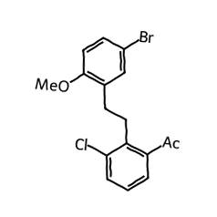 COc1ccc(Br)cc1CCc1c(Cl)cccc1C(C)=O